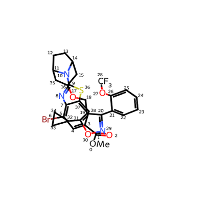 COC(=O)c1cc(Br)c2nc(N3C4CCC3CC(OCc3c(-c5ccccc5OC(F)(F)F)noc3C3CC3)C4)sc2c1